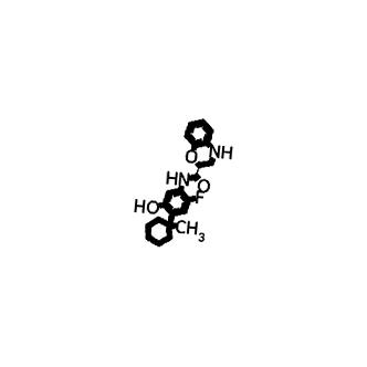 CC1(c2cc(F)c(NC(=O)[C@H]3CNc4ccccc4O3)cc2O)CCCCC1